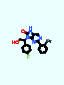 CC(C)c1ccccc1-c1ncc2[nH]c(=O)n(C(CO)c3ccc(F)cc3)c2n1